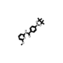 COc1cccc(NC(=O)c2ccc(B3OC(C)(C)C(C)(C)O3)cc2)n1